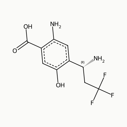 Nc1cc([C@H](N)CC(F)(F)F)c(O)cc1C(=O)O